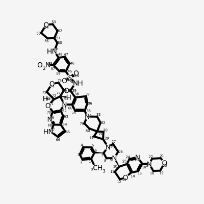 Cc1ccccc1[C@@H]1CN([C@@H]2CCOc3cc(N4CCOCC4)ncc32)CCN1C1CC2(CCN(c3ccc(C(=O)NS(=O)(=O)c4ccc(NCC5CCOCC5)c([N+](=O)[O-])c4)c(N4c5cc6cc[nH]c6nc5O[C@H]5COCC[C@@H]54)c3)CC2)C1